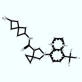 NC1CC2(C1)CC(NC(=O)C1CN(c3ccc(C(F)(F)F)c4nccnc34)CC13CC3)C2